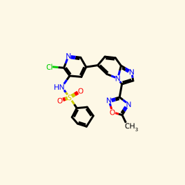 Cc1nc(-c2cnc3ccc(-c4cnc(Cl)c(NS(=O)(=O)c5ccccc5)c4)cn23)no1